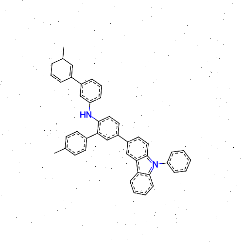 Cc1ccc(-c2cc(-c3ccc4c(c3)c3ccccc3n4-c3ccccc3)ccc2Nc2cccc(C3=CC(C)CC=C3)c2)cc1